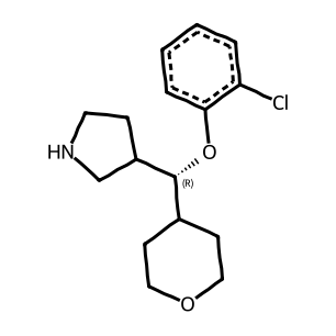 Clc1ccccc1O[C@H](C1CCOCC1)C1CCNC1